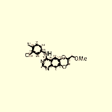 COCC1COc2cc3ncnc(Nc4ccc(C)c(Cl)c4)c3cc2O1